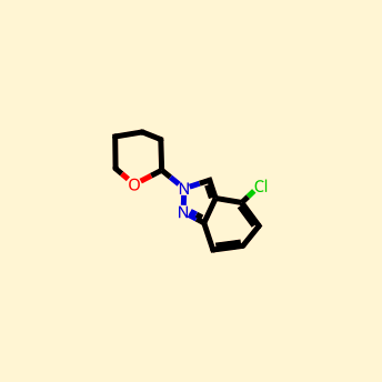 Clc1cccc2nn(C3CCCCO3)cc12